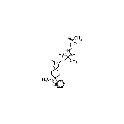 CN(C)[C@]1(c2ccccc2)CC[C@@]2(CC1)CC(=O)N(CCC(C)(C)C(=O)NCCS(C)(=O)=O)C2